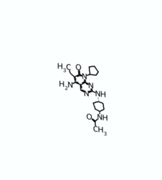 CCc1c(N)c2cnc(N[C@H]3CC[C@H](NC(C)=O)CC3)nc2n(C2CCCC2)c1=O